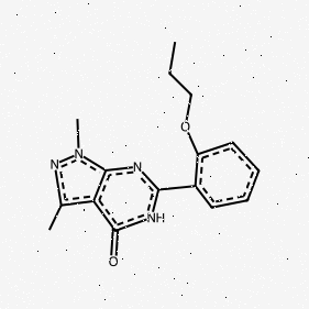 CCCOc1ccccc1-c1nc2c(c(C)nn2C)c(=O)[nH]1